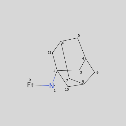 CC[N]C12CC3CC(CC(C3)C1)C2